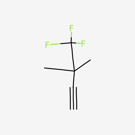 C#CC(C)(C)C(F)(F)F